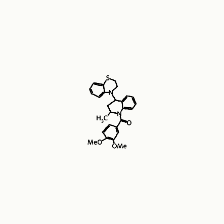 COc1ccc(C(=O)N2c3ccccc3C(N3CCSc4ccccc43)CC2C)cc1OC